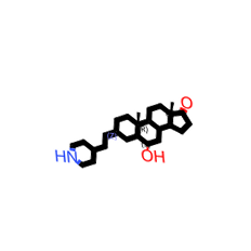 C[C@]12CC/C(=C/CC3CCNCC3)CC1[C@@H](O)CC1C2CC[C@]2(C)C(=O)CCC12